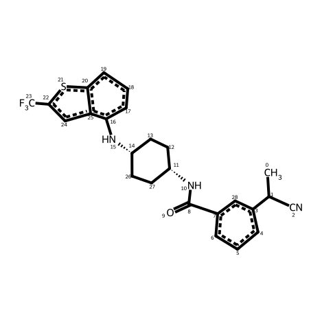 CC(C#N)c1cccc(C(=O)N[C@H]2CC[C@@H](Nc3cccc4sc(C(F)(F)F)cc34)CC2)c1